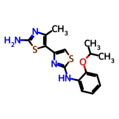 Cc1nc(N)sc1-c1csc(Nc2ccccc2OC(C)C)n1